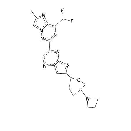 Cc1cn2nc(-c3cnc4cc(C5CCC(N6CCC6)CC5)sc4n3)cc(C(F)F)c2n1